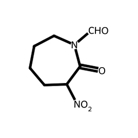 O=CN1CCCCC([N+](=O)[O-])C1=O